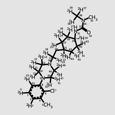 [2H]c1c([2H])c(C)c(Cl)c(N2C([2H])([2H])C([2H])([2H])N(C([2H])([2H])C[C@]3([2H])C([2H])([2H])C([2H])([2H])[C@@]([2H])(NC(=O)N(C)C([2H])([2H])[2H])C([2H])([2H])C3([2H])[2H])C([2H])([2H])C2([2H])[2H])c1[2H]